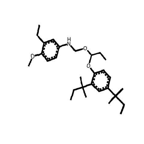 CCc1cc(NCOC(CC)Oc2ccc(C(C)(C)CC)cc2C(C)(C)CC)ccc1OC